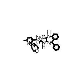 Cc1ccc(-c2nnc(N[C@H]3N=C(c4ccccc4)c4ccccc4NC3=O)o2)c(N2C3CCC2COC3)n1